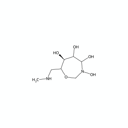 CNCC1OCN(O)C(O)C(O)[C@@H]1O